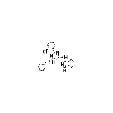 Clc1ccccc1-c1nc(NCc2ccccc2)cc(Nc2n[nH]c3ccccc23)n1